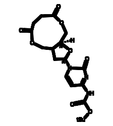 CC(C)(C)OC(=O)Nc1ccn([C@H]2CC3COC(=O)CCC(=O)OC[C@H]3O2)c(=O)n1